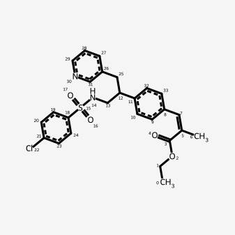 CCOC(=O)C(C)=Cc1ccc(C(CNS(=O)(=O)c2ccc(Cl)cc2)Cc2cccnc2)cc1